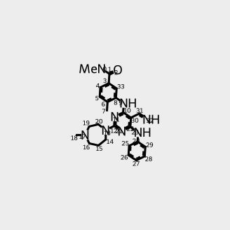 CNC(=O)c1ccc(C)c(Nc2nc(N3CCCN(C)CC3)nc(Nc3ccccc3)c2C=N)c1